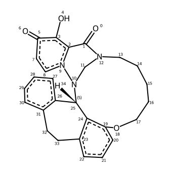 O=C1c2c(O)c(=O)ccn2N2CN1CCCCCOc1cccc3c1[C@@H]2c1ccccc1CC3